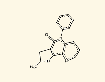 CC1Cc2c(c3ncccc3n(-c3ccccc3)c2=O)O1